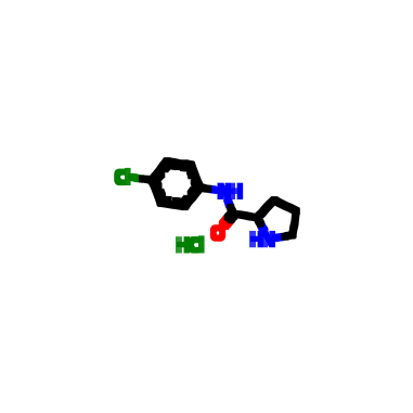 Cl.O=C(Nc1ccc(Cl)cc1)C1CCCN1